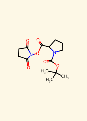 CC(C)(C)OC(=O)N1CCCC1C(=O)ON1C(=O)CCC1=O